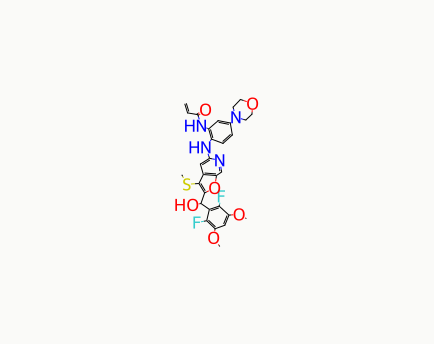 C=CC(=O)Nc1cc(N2CCOCC2)ccc1Nc1cc2c(SC)c(C(O)c3c(F)c(OC)cc(OC)c3F)oc2cn1